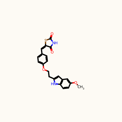 COc1ccc2[nH]c(CCOc3ccc(C=C4SC(=O)NC4=O)cc3)cc2c1